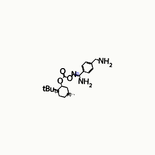 C[C@@H]1CC[C@@H](C(C)(C)C)C(OC(=O)O/N=C(\N)c2ccc(CN)cc2)C1